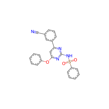 N#Cc1cccc(-c2cc(Oc3ccccc3)nc(NS(=O)(=O)c3ccccc3)n2)c1